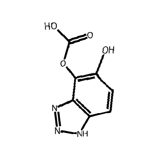 O=C(O)Oc1c(O)ccc2[nH]nnc12